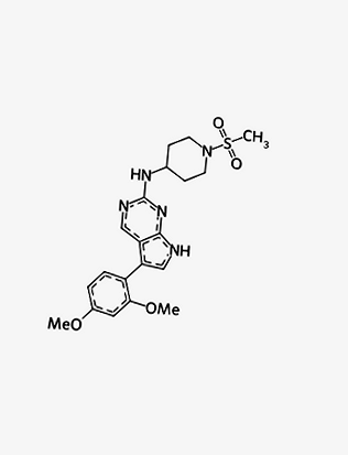 COc1ccc(-c2c[nH]c3nc(NC4CCN(S(C)(=O)=O)CC4)ncc23)c(OC)c1